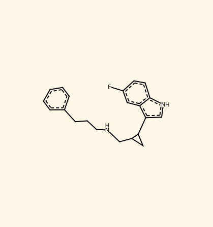 Fc1ccc2[nH]cc(C3CC3CNCCCc3ccccc3)c2c1